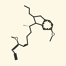 C#C/C=C(\C=C/CC[C@H](C)C1c2cc(OC)ccc2CC1CCC)OC